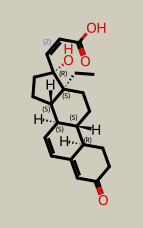 CC[C@]12CC[C@H]3[C@@H](C=CC4=CC(=O)CC[C@@H]43)[C@@H]1CC[C@@]2(O)/C=C\C(=O)O